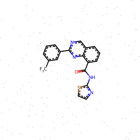 O=C(Nc1nccs1)c1cccc2cnc(-c3cccc(C(F)(F)F)c3)nc12